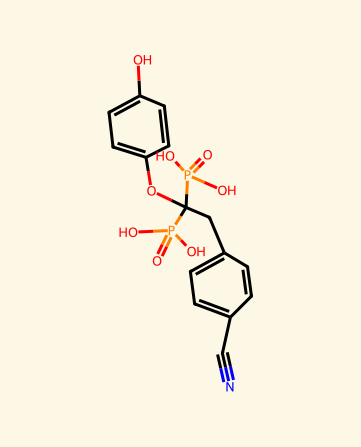 N#Cc1ccc(CC(Oc2ccc(O)cc2)(P(=O)(O)O)P(=O)(O)O)cc1